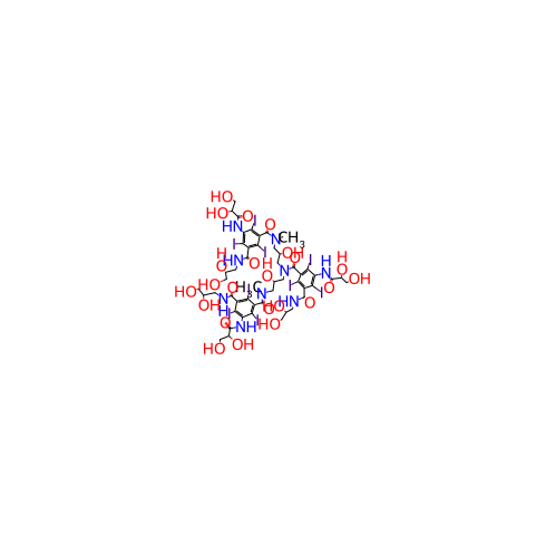 CN(CC(O)CN(CC(O)CN(C)C(=O)c1c(I)c(NC(=O)C(O)CO)c(I)c(C(=O)NCC(O)CO)c1I)C(=O)c1c(I)c(NC(=O)C(O)CO)c(I)c(C(=O)NCC(O)CO)c1I)C(=O)c1c(I)c(NC(=O)C(O)CO)c(I)c(C(=O)NCC(O)CO)c1I